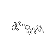 C=C(C)C(=O)OC(C)c1ccc(OCC(=O)OC2C3CC4C(=O)OC2C4C3)cc1